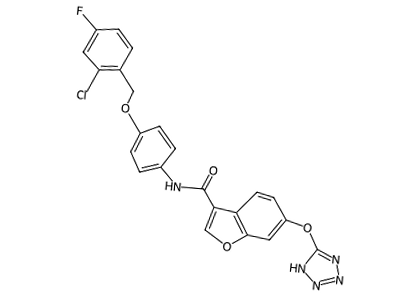 O=C(Nc1ccc(OCc2ccc(F)cc2Cl)cc1)c1coc2cc(Oc3nnn[nH]3)ccc12